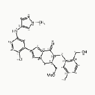 COC[C@H]1Cn2cc(-c3cc(Nc4cnn(C)c4)ncc3Cl)cc2C(=O)N1Cc1cc(F)ccc1CO